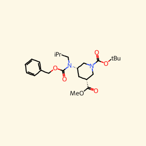 COC(=O)[C@@H]1C[C@H](N(CC(C)C)C(=O)OCc2ccccc2)CN(C(=O)OC(C)(C)C)C1